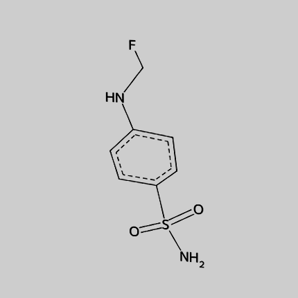 NS(=O)(=O)c1ccc(NCF)cc1